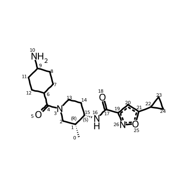 C[C@@H]1CN(C(=O)C2CCC(N)CC2)CC[C@@H]1NC(=O)c1cc(C2CC2)on1